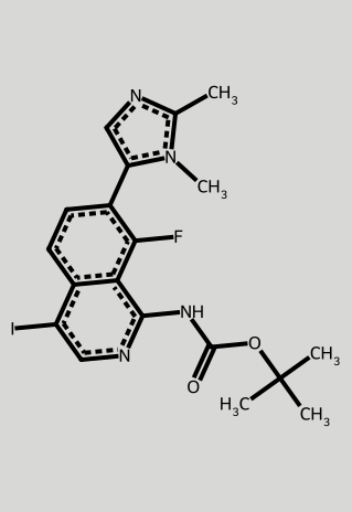 Cc1ncc(-c2ccc3c(I)cnc(NC(=O)OC(C)(C)C)c3c2F)n1C